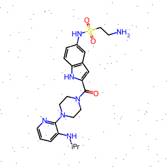 CC(C)Nc1cccnc1N1CCN(C(=O)c2cc3cc(NS(=O)(=O)CCN)ccc3[nH]2)CC1